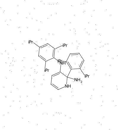 CC(C)c1cc(C(C)C)c(NC2=CC=CNC2(N)c2c(C(C)C)cccc2C(C)C)c(C(C)C)c1